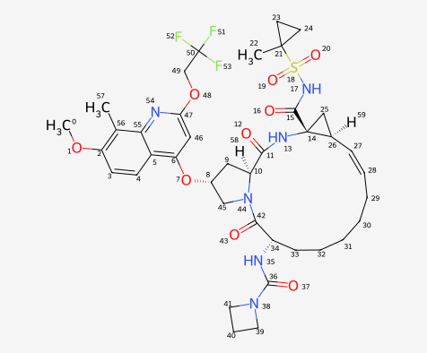 COc1ccc2c(O[C@@H]3C[C@H]4C(=O)N[C@]5(C(=O)NS(=O)(=O)C6(C)CC6)C[C@H]5/C=C\CCCCC[C@H](NC(=O)N5CCC5)C(=O)N4C3)cc(OCC(F)(F)F)nc2c1C